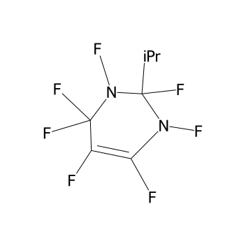 CC(C)C1(F)N(F)C(F)=C(F)C(F)(F)N1F